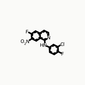 O=[N+]([O-])c1cc2c(Nc3ccc(F)c(Cl)c3)nccc2cc1F